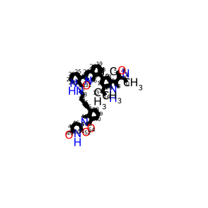 Cc1noc(C)c1-c1c[nH]c2c(C(C)C)cc(-c3cccc4cc(-c5cccnc5C(=O)NCCC#Cc5cccc6c5CN(C5CCC(=O)NC5=O)C6=O)ncc34)cc12